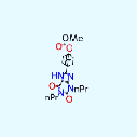 CCCn1c(=O)c2[nH]c(C34CCC(OC(=O)OC)(CC3)CC4)nc2n(CCC)c1=O